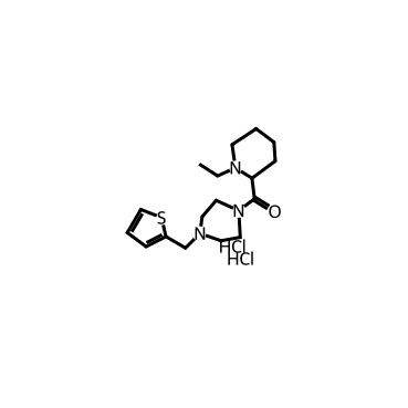 CCN1CCCCC1C(=O)N1CCN(Cc2cccs2)CC1.Cl.Cl